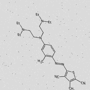 CCN(CC)CCN(CCN(CC)CC)c1ccc(/N=N/c2sc(C#N)c(C)c2C#N)c(C)c1